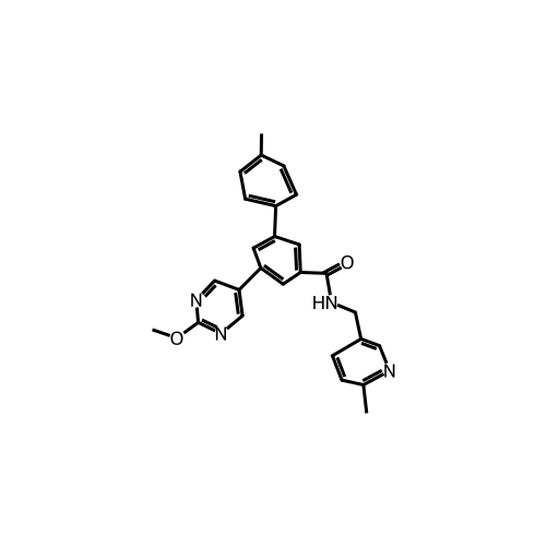 COc1ncc(-c2cc(C(=O)NCc3ccc(C)nc3)cc(-c3ccc(C)cc3)c2)cn1